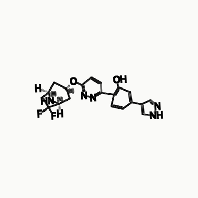 Oc1cc(-c2cn[nH]c2)ccc1-c1ccc(O[C@H]2C[C@@H]3CC(F)(F)[C@H](C2)N3)nn1